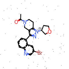 CC(=O)N1CCc2c(c(-c3cccc4ncc(Br)cc34)nn2[C@H]2CCOC2)C1